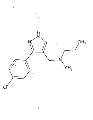 CN(CCN)Cc1c[nH]nc1-c1ccc(Cl)cc1